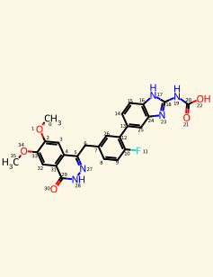 COc1cc2c(Cc3ccc(F)c(-c4ccc5[nH]c(NC(=O)O)nc5c4)c3)n[nH]c(=O)c2cc1OC